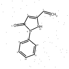 C=Cc1cc(=O)n(-c2ccccc2)[nH]1